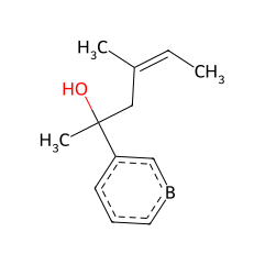 C/C=C(/C)CC(C)(O)c1cbccc1